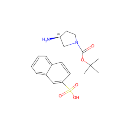 CC(C)(C)OC(=O)N1CC[C@H](N)C1.O=S(=O)(O)c1ccc2ccccc2c1